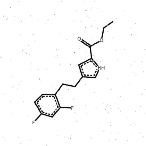 CCOC(=O)c1cc(CCc2ccc(F)cc2F)c[nH]1